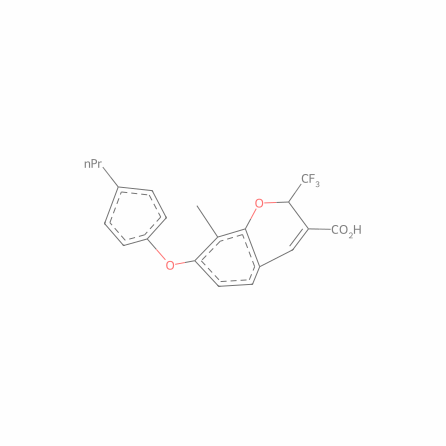 CCCc1ccc(Oc2ccc3c(c2C)OC(C(F)(F)F)C(C(=O)O)=C3)cc1